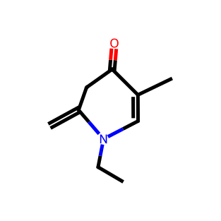 C=C1CC(=O)C(C)=CN1CC